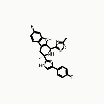 Cc1nc(C2N[C@@](C)(c3nc(-c4ccc(F)cc4)c[nH]3)Cc3c2[nH]c2cc(F)ccc32)no1